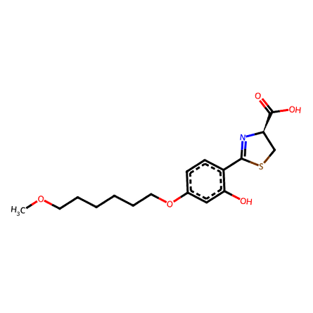 COCCCCCCOc1ccc(C2=N[C@@H](C(=O)O)CS2)c(O)c1